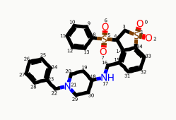 O=S1(=O)CC(S(=O)(=O)c2ccccc2)c2c(CNC3CCN(Cc4ccccc4)CC3)cccc21